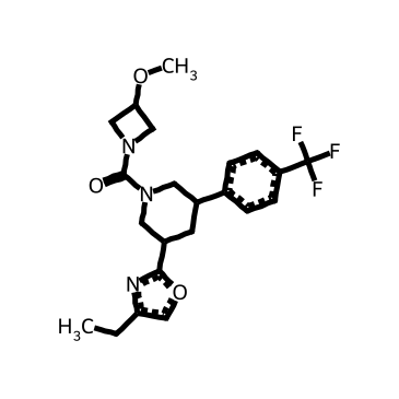 CCc1coc(C2CC(c3ccc(C(F)(F)F)cc3)CN(C(=O)N3CC(OC)C3)C2)n1